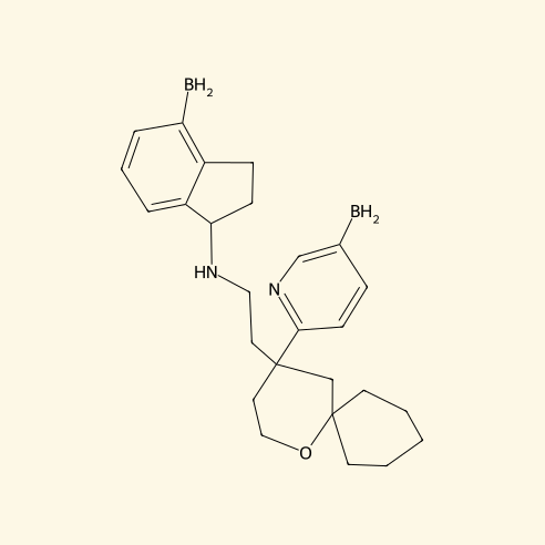 Bc1ccc(C2(CCNC3CCc4c(B)cccc43)CCOC3(CCCCC3)C2)nc1